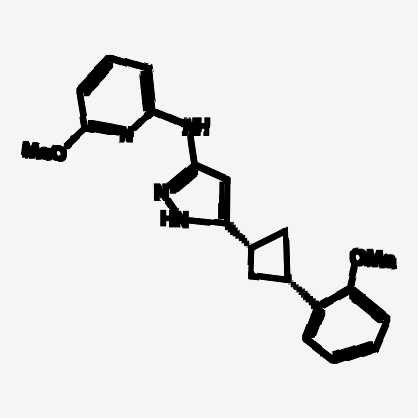 COc1cccc(Nc2cc([C@H]3C[C@@H](c4ccccc4OC)C3)[nH]n2)n1